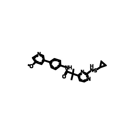 COc1cncc(-c2ccc(NC(=O)C(C)(C)c3ccnc(NSC4CC4)n3)cc2)c1